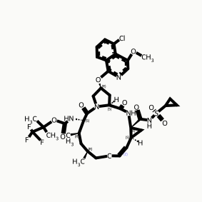 COc1cnc(O[C@@H]2C[C@H]3C(=O)N[C@]4(C(=O)NS(=O)(=O)C5CC5)C[C@H]4/C=C\CC[C@@H](C)C[C@@H](C)[C@H](NC(=O)OC(C)(C)C(F)(F)F)C(=O)N3C2)c2cccc(Cl)c12